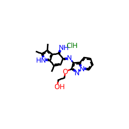 CC1=CC(=Nc2c(OCCO)nn3ccccc23)C(=N)c2c1[nH]c(C)c2C.Cl